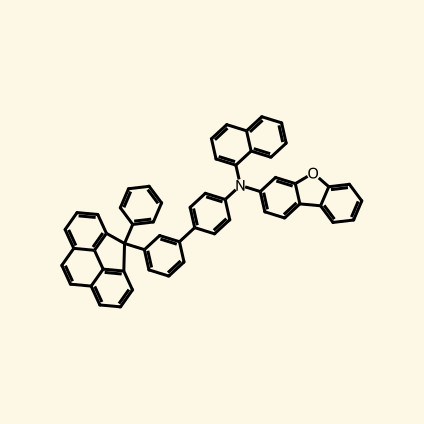 c1ccc(C2(c3cccc(-c4ccc(N(c5ccc6c(c5)oc5ccccc56)c5cccc6ccccc56)cc4)c3)c3cccc4ccc5cccc2c5c34)cc1